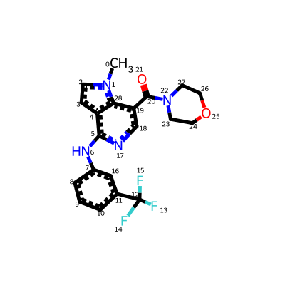 Cn1ccc2c(Nc3cccc(C(F)(F)F)c3)ncc(C(=O)N3CCOCC3)c21